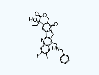 CC[C@@]1(O)C(=O)OCc2c1cc1n(c2=O)Cc2c-1nc1cc(F)c(C)cc1c2CNCc1ccccc1